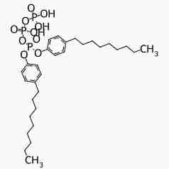 CCCCCCCCCc1ccc(OP(=O)(Oc2ccc(CCCCCCCCC)cc2)OP(=O)(O)OP(=O)(O)O)cc1